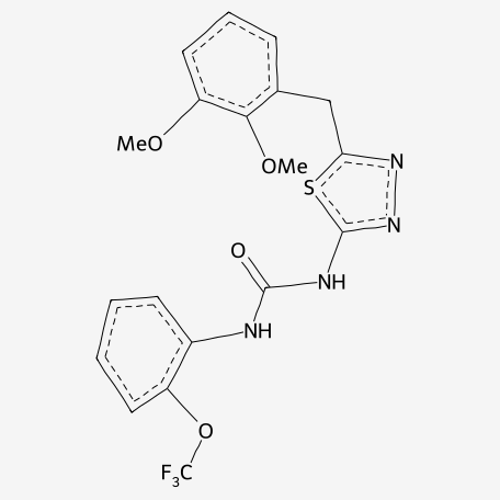 COc1cccc(Cc2nnc(NC(=O)Nc3ccccc3OC(F)(F)F)s2)c1OC